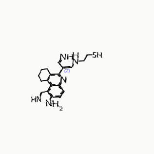 N=C/C(=C\NCCS)c1nc2ccc(N)c(C=N)c2c2c1CCCC2